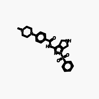 CN1CCN(c2ccc(C(=O)Nc3nn(S(=O)(=O)c4ccccc4)c4c3CNC4)cc2)CC1